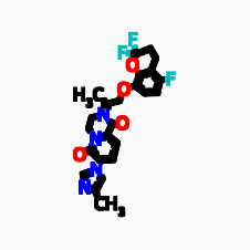 Cc1cn(-c2ccc3n(c2=O)CCN([C@@H](C)COc2ccc(F)c4c2OC(F)(F)CC4)C3=O)cn1